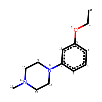 CCOc1cccc(N2CCN(C)CC2)c1